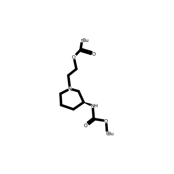 CC(C)(C)OC(=O)N[C@H]1CCCN(CCOC(=O)C(C)(C)C)C1